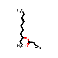 CCC=CCCCC(CC)OC(=O)CC